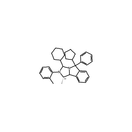 Cc1ccccc1N1C(C2CCCCC2)N2C(c3ccccc3C2(c2ccccc2)C2CCCC2)[C@@H]1C